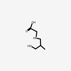 CC(CO)CNCC(=O)O